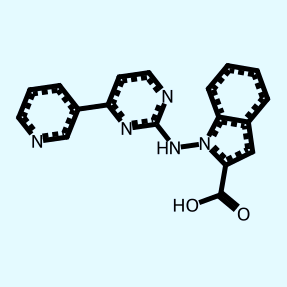 O=C(O)c1cc2ccccc2n1Nc1nccc(-c2cccnc2)n1